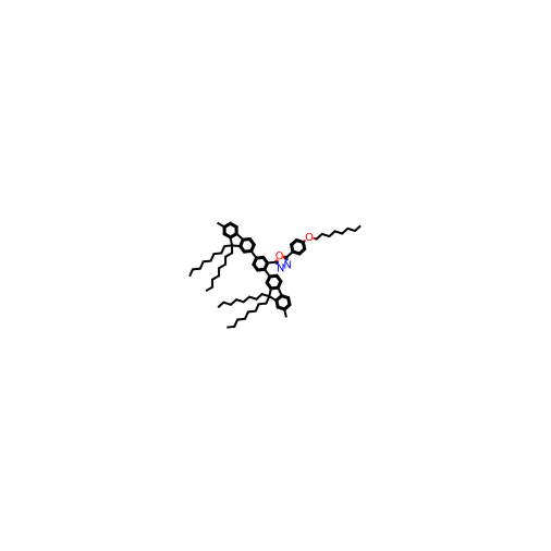 CCCCCCCCOc1ccc(-c2nnc(-c3cc(-c4ccc5c(c4)C(CCCCCCCC)(CCCCCCCC)c4cc(C)ccc4-5)ccc3-c3ccc4c(c3)C(CCCCCCCC)(CCCCCCCC)c3cc(C)ccc3-4)o2)cc1